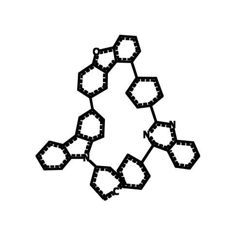 c1ccc(-c2nc(-c3ccc(-c4cccc5oc6ccc(-c7ccc8c(c7)c7ccccc7n8-c7ccccc7)cc6c45)cc3)nc3ccccc23)cc1